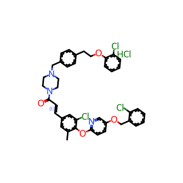 Cc1cc(/C=C/C(=O)N2CCN(Cc3ccc(CCOc4ccccc4Cl)cc3)CC2)cc(Cl)c1Oc1ccc(OCc2ccccc2Cl)cn1.Cl